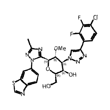 CO[C@@H]1[C@@H](n2cc(-c3ccc(Cl)c(F)c3F)nn2)[C@@H](O)[C@@H](CO)O[C@H]1c1nc(C)nn1-c1ccc2ncsc2c1